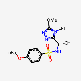 CCCCOc1ccc(S(=O)(=O)N[C@@H](C)c2nnc(OC)n2CC)cc1